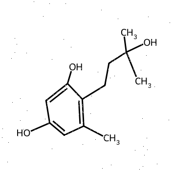 Cc1cc(O)cc(O)c1CCC(C)(C)O